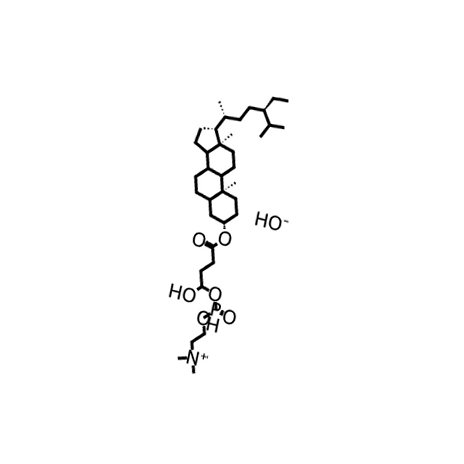 CC[C@H](CC[C@@H](C)[C@H]1CCC2C3CCC4C[C@@H](OC(=O)CCC(O)O[PH](=O)OCC[N+](C)(C)C)CC[C@]4(C)C3CC[C@@]21C)C(C)C.[OH-]